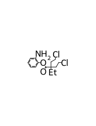 CCC(CCCl)(CCCl)C(=O)Oc1ccccc1N